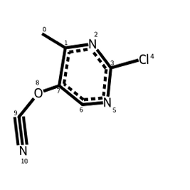 Cc1nc(Cl)ncc1OC#N